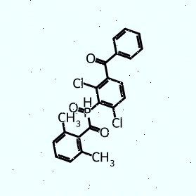 Cc1cccc(C)c1C(=O)[PH](=O)c1c(Cl)ccc(C(=O)c2ccccc2)c1Cl